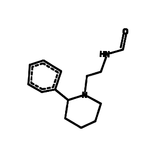 O=CNCCN1CCCCC1c1ccccc1